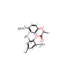 COc1ccc(OC(C)C(=O)Oc2c(C(C)C)cc(C)cc2C(C)(C)C)cc1